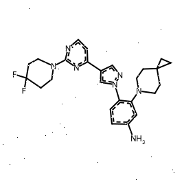 Nc1ccc(-n2cc(-c3ccnc(N4CCC(F)(F)CC4)n3)cn2)c(N2CCC3(CC2)CC3)c1